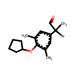 Cc1cc(C(C)(Br)C=O)cc(C)c1OC1CCCC1